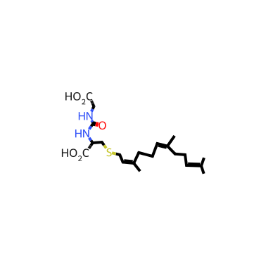 CC(C)=CCCC(C)=CCCC(C)=CCSCC(NC(=O)NCC(=O)O)C(=O)O